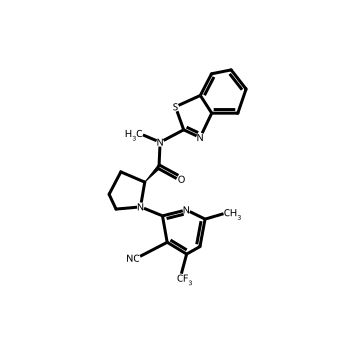 Cc1cc(C(F)(F)F)c(C#N)c(N2CCC[C@H]2C(=O)N(C)c2nc3ccccc3s2)n1